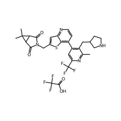 Cc1nc(C(F)(F)F)cc(-c2ccnc3cc(CN4C(=O)C5C(C4=O)C5(C)C)sc23)c1CC1CCNC1.O=C(O)C(F)(F)F